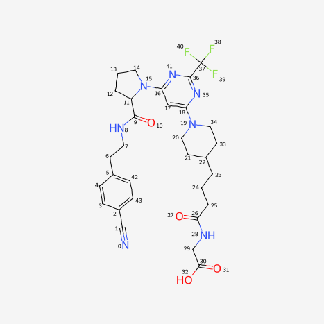 N#Cc1ccc(CCNC(=O)C2CCCN2c2cc(N3CCC(CCCC(=O)NCC(=O)O)CC3)nc(C(F)(F)F)n2)cc1